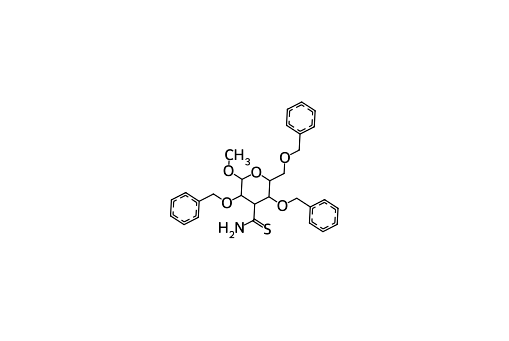 COC1OC(COCc2ccccc2)C(OCc2ccccc2)C(C(N)=S)C1OCc1ccccc1